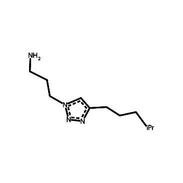 CC(C)CCCc1cn(CCCN)nn1